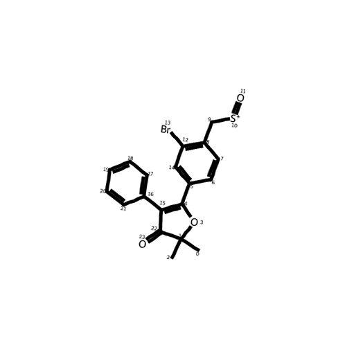 CC1(C)OC(c2ccc(C[S+]=O)c(Br)c2)=C(c2ccccc2)C1=O